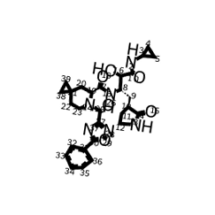 O=C(NC1CC1)C(O)[C@H](C[C@@H]1CCNC1=O)NC(=O)[C@@H]1CC2(CCN1C(=O)c1noc(-c3ccccc3)n1)CC2